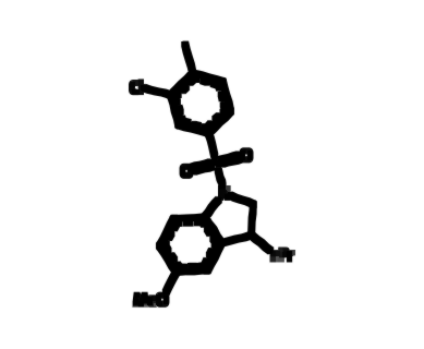 CCCC1CN(S(=O)(=O)c2ccc(C)c(Cl)c2)c2ccc(OC)cc21